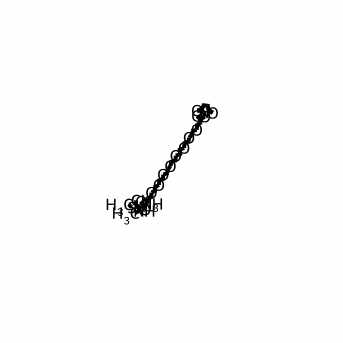 CN/C(=C(/C)SC)S(=O)(=O)NCCOCCOCCOCCOCCOCCOCCOCCOCCC(=O)ON1C(=O)CCC1=O